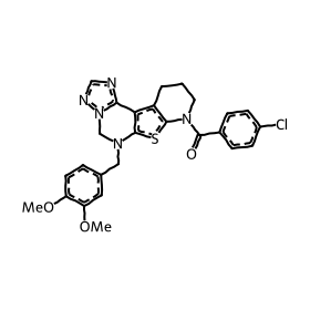 COc1ccc(CN2Cn3ncnc3-c3c2sc2c3CCCN2C(=O)c2ccc(Cl)cc2)cc1OC